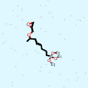 CCO[Si](CCCC=CCC(C)OCC1CO1)(OCC)OCC